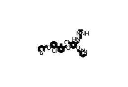 Cc1c(COc2cc(OCc3cccnn3)c(CNCc3ncc[nH]3)cc2Cl)cccc1-c1cccc(OCC2CCCN(C)C2)c1Cl